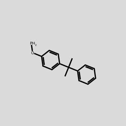 CC(C)(c1ccccc1)c1ccc(OP)cc1